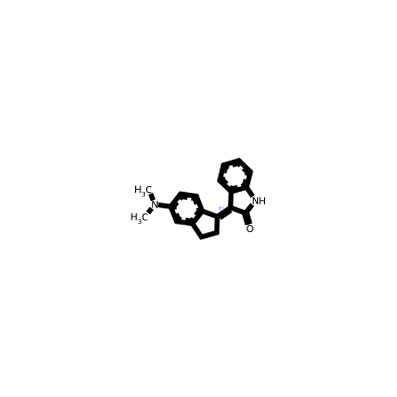 CN(C)c1ccc2c(c1)CC/C2=C1\C(=O)Nc2ccccc21